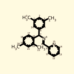 Cc1cc(C)cc(C(N=Cc2ccccn2)c2ccc(C)cc2C)c1